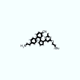 Cc1nc(OCCC(C)(C)C)cc(C2CCCC2c2cc(C#N)ccc2-c2ccc(CCN)cc2)n1